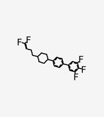 FC(F)=CCCC1CCC(c2ccc(-c3cc(F)c(F)c(F)c3)cc2)CC1